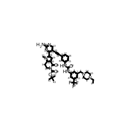 CCN1CCN(Cc2cc(NC(=O)Nc3cccc(C#Cc4cnc(N)nc4-c4cc5c(n4C)CCN(C(=O)OC(C)(C)C)C5=O)c3)cc(C(F)(F)F)c2)CC1